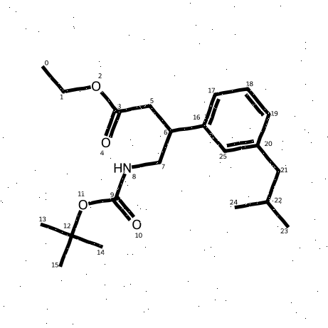 CCOC(=O)CC(CNC(=O)OC(C)(C)C)c1cccc(CC(C)C)c1